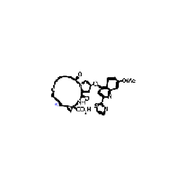 COc1ccc2c(OC3CC4C(=O)NC5(C(=O)O)CC5/C=C/CCCCCCC(=O)N4C3)cc(-c3nccs3)nc2c1